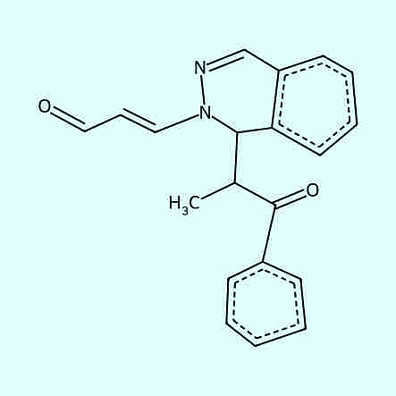 CC(C(=O)c1ccccc1)C1c2ccccc2C=NN1C=CC=O